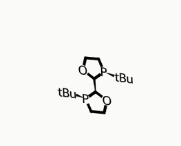 CC(C)(C)[P@]1CCOC1[C@H]1OCC[P@@]1C(C)(C)C